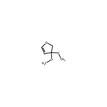 COC1(OC)COC=N1